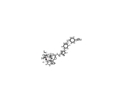 C=C[C@]12C[C@@H](OC(=O)CSc3nc(-c4cc[n+](Cc5ccc(C(C)(C)C)cc5)cc4)cs3)[C@]3(C)[C@H](C)CC[C@]4(CCC(=O)[C@H]43)[C@@H](C)[C@@H]1O2